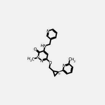 Cc1cccc([C@H]2CC2COc2cc(NCc3cccnc3)c(=O)n(C)n2)n1